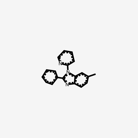 Cc1ccc2nc(-c3ccccc3)n(-c3ccccn3)c2c1